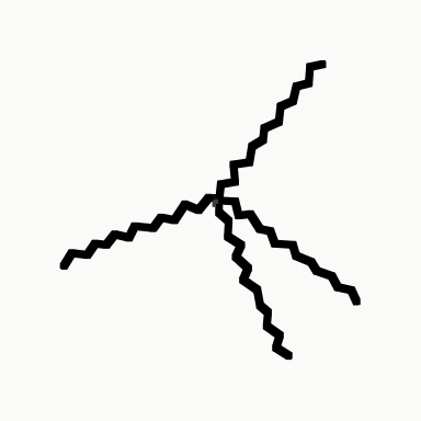 CCCCCCCCCCCCC[CH2][Ti]([CH2]CCCCCCCCCCCCC)([CH2]CCCCCCCCCCCCC)[CH2]CCCCCCCCCCCCC